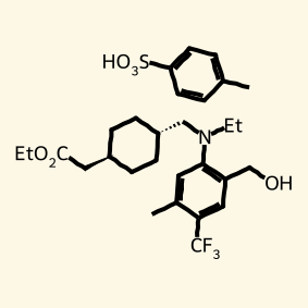 CCOC(=O)C[C@H]1CC[C@H](CN(CC)c2cc(C)c(C(F)(F)F)cc2CO)CC1.Cc1ccc(S(=O)(=O)O)cc1